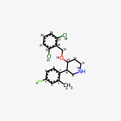 Cc1cc(F)ccc1C1CNCCC1OCc1c(Cl)cccc1Cl